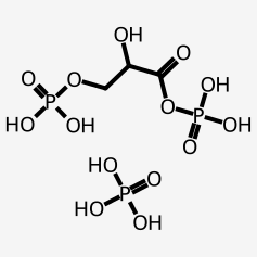 O=C(OP(=O)(O)O)C(O)COP(=O)(O)O.O=P(O)(O)O